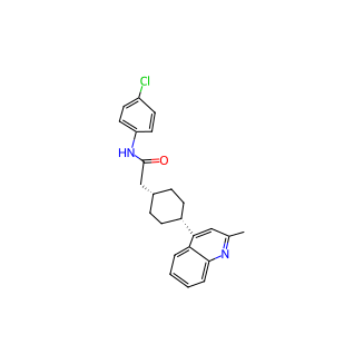 Cc1cc([C@H]2CC[C@@H](CC(=O)Nc3ccc(Cl)cc3)CC2)c2ccccc2n1